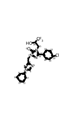 O=c1n(Cc2ncn(-c3ccccc3)n2)nc(-c2ccc(Cl)cc2)n1CC(O)C(F)(F)F